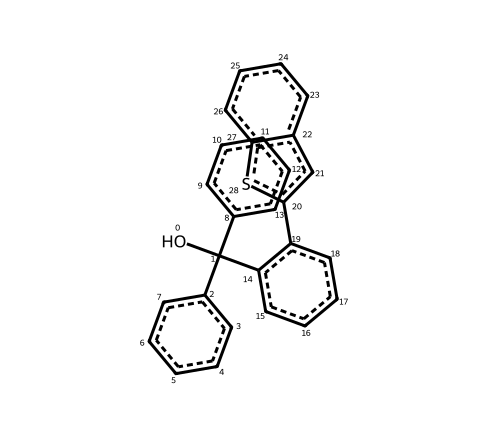 OC(c1ccccc1)(c1ccccc1)c1ccccc1-c1cc2ccccc2s1